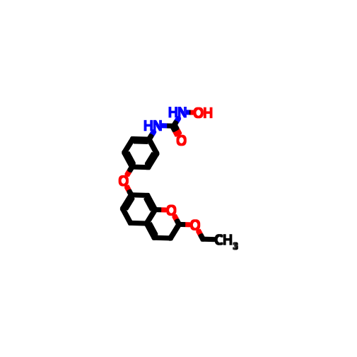 CCOC1CC=C2CC=C(Oc3ccc(NC(=O)NO)cc3)C=C2O1